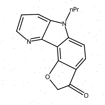 CCCn1c2cccnc2c2c3c(ccc21)C(=O)CO3